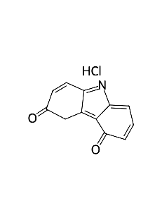 Cl.O=C1C=CC2=NC3=CC=CC(=O)C3=C2C1